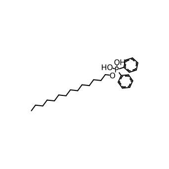 CCCCCCCCCCCCCCOP(O)(O)(c1ccccc1)c1ccccc1